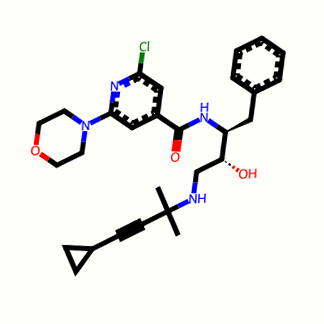 CC(C)(C#CC1CC1)NC[C@@H](O)[C@H](Cc1ccccc1)NC(=O)c1cc(Cl)nc(N2CCOCC2)c1